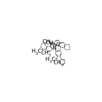 Cc1ccc2c(c1-c1cc3c(cc1N(c1ccccc1)c1ccc4c(c1)C(C)(C)CCC4(C)C)C(C)(C)c1ccccc1-3)CCCC2